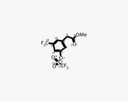 COC(=O)Cc1cc(OS(=O)(=O)C(F)(F)F)cc(C(F)(F)F)c1